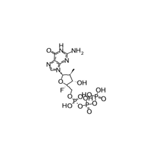 C[C@@H]1[C@H](n2cnc3c(=O)[nH]c(N)nc32)O[C@](F)(COP(=O)(O)OP(=O)(O)OP(=O)(O)O)[C@H]1O